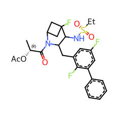 CCS(=O)(=O)NC1C(Cc2cc(F)cc(-c3ccccc3)c2F)N(C(=O)[C@@H](C)OC(C)=O)C2CC1(F)C2